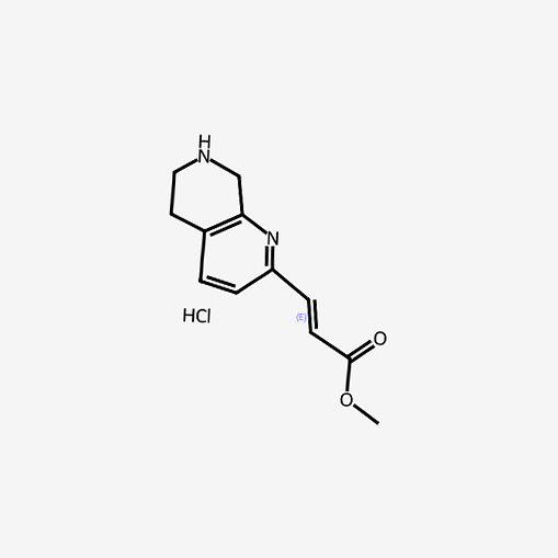 COC(=O)/C=C/c1ccc2c(n1)CNCC2.Cl